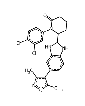 Cc1noc(C)c1-c1ccc2c(c1)NC(C1CCCC(=O)N1c1ccc(Cl)c(Cl)c1)N2